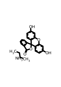 CCCC.N.O=C1OC2(c3ccc(O)cc3Oc3cc(O)ccc32)c2ccccc21